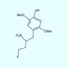 CCCc1cc(OC)c(CC(N)CCF)cc1OC